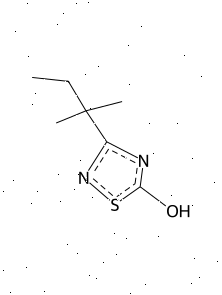 CCC(C)(C)c1nsc(O)n1